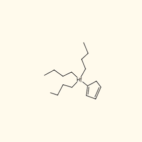 CCC[CH2][Hf]([CH2]CCC)([CH2]CCC)[C]1=CC=CC1